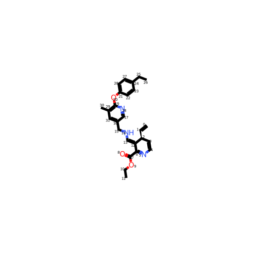 C=C[C@H]1C=CN=C(C(=O)OCC)/C1=C/NCc1cnc(Oc2ccc(CC)cc2)c(C)c1